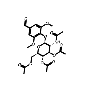 COc1cc(C=O)cc(OC)c1O[C@@H]1O[C@H](COC(C)=O)[C@@H](OC(C)=O)[C@H](OC(C)=O)[C@H]1NC(C)=O